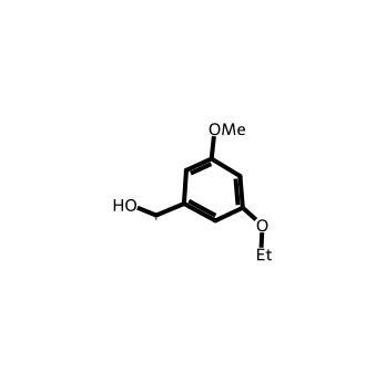 CCOc1cc([CH]O)cc(OC)c1